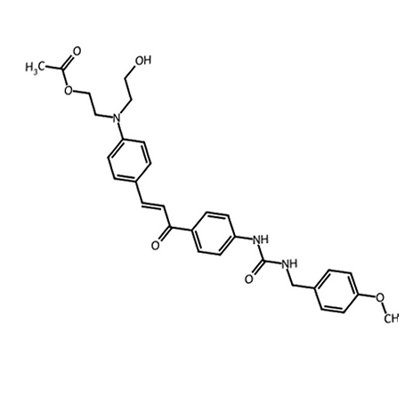 COc1ccc(CNC(=O)Nc2ccc(C(=O)/C=C/c3ccc(N(CCO)CCOC(C)=O)cc3)cc2)cc1